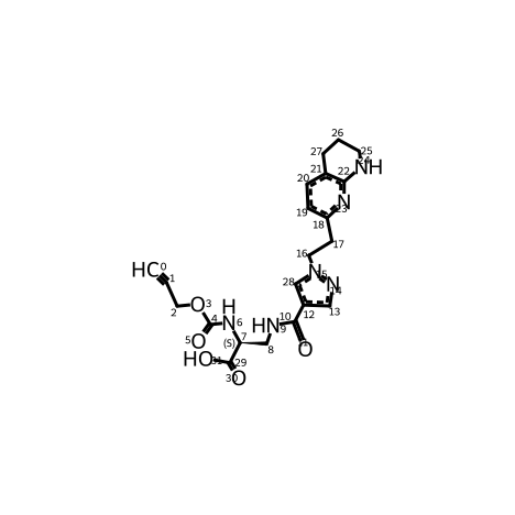 C#CCOC(=O)N[C@@H](CNC(=O)c1cnn(CCc2ccc3c(n2)NCCC3)c1)C(=O)O